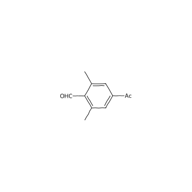 CC(=O)c1cc(C)c(C=O)c(C)c1